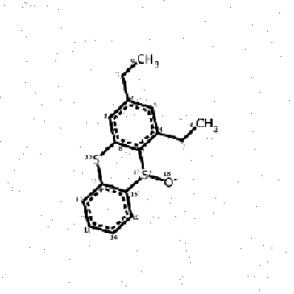 CCc1cc(CC)c2c(c1)Sc1ccccc1[S+]2[O-]